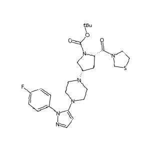 CC(C)(C)OC(=O)N1C[C@@H](N2CCN(c3ccnn3-c3ccc(F)cc3)CC2)C[C@H]1C(=O)N1CCSC1